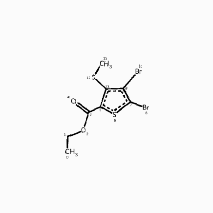 CCOC(=O)c1sc(Br)c(Br)c1SC